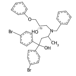 CC(CC(O)(c1ccc(Br)cc1)c1ccc(Br)cc1)N(Cc1ccccc1)C[C@H](O)COc1ccccc1